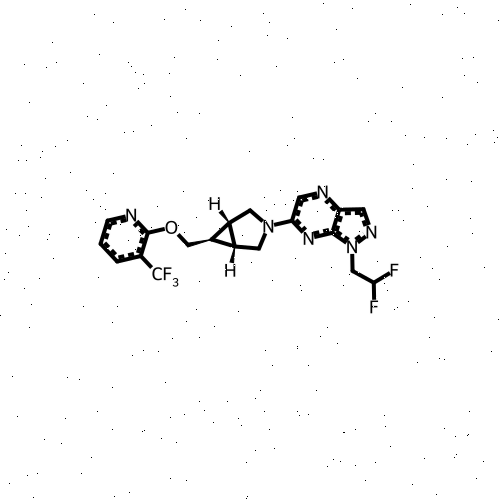 FC(F)Cn1ncc2ncc(N3C[C@@H]4[C@@H](COc5ncccc5C(F)(F)F)[C@@H]4C3)nc21